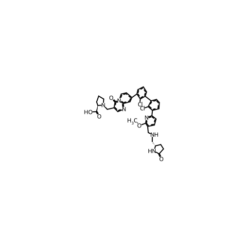 COc1nc(-c2cccc(-c3cccc(-c4ccn5c(=O)c(CN6CCC[C@@H]6C(=O)O)cnc5c4)c3Cl)c2Cl)ccc1CNC[C@@H]1CCC(=O)N1